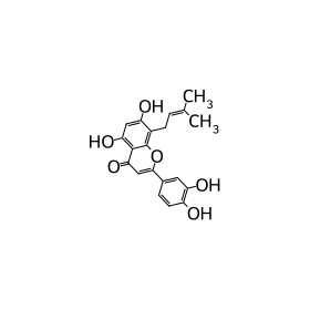 CC(C)=CCc1c(O)cc(O)c2c(=O)cc(-c3ccc(O)c(O)c3)oc12